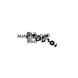 CC[C@H](C)[C@@H]([C@@H](CC(=O)N1CCC[C@H]1[C@H](OC)[C@@H](C)C(=O)NCCc1ccc(N(C)C)cc1)OC)N(C)C(=O)[C@@H](NC(=O)[C@@H](NC)C(C)C)C(C)C